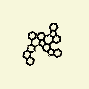 c1ccc(-c2nc3ccc4ccccc4c3nc2-n2c3cc4oc5ccccc5c4c4c5cccc6c7ccccc7n(c7cccc2c7c43)c65)cc1